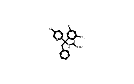 CC(=O)NC(=S)NC(Cc1ccccc1)(c1cc(F)cc(C(F)(F)F)c1)c1ccc(Cl)cn1